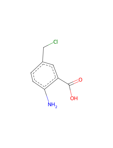 Nc1ccc(CCl)cc1C(=O)O